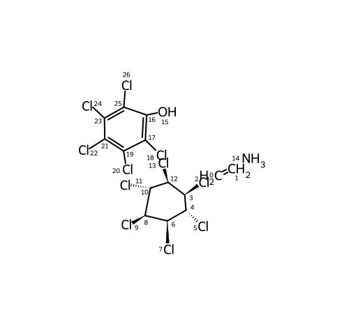 C=C.Cl[C@H]1[C@H](Cl)[C@@H](Cl)[C@@H](Cl)[C@H](Cl)[C@H]1Cl.N.Oc1c(Cl)c(Cl)c(Cl)c(Cl)c1Cl